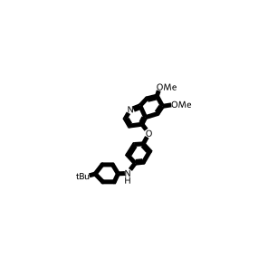 COc1cc2nccc(Oc3ccc(NC4CCC(C(C)(C)C)CC4)cc3)c2cc1OC